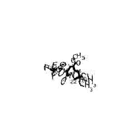 COC(=O)c1cc(OS(=O)C(F)(F)F)c(=O)n2c1CC(C)(C)C2